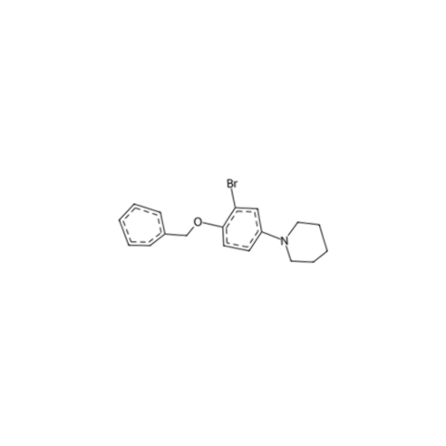 Brc1cc(N2CCCCC2)ccc1OCc1ccccc1